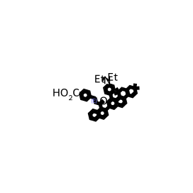 CCN(CC)c1ccc(-c2cc(-c3ccc4ccccc4c3C(=O)/C=C/c3ccc(C(=O)O)cc3)cc3ccc4c(c23)C(C)(C)CC2=C4C=CC(C)(C)C2)cc1